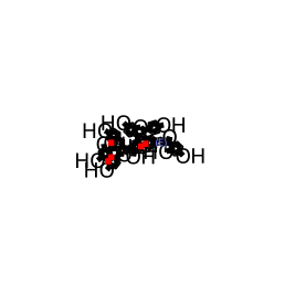 O=C(/C=C/c1ccc(O)c(C2C(c3ccc(O)cc3)Oc3cc(O)ccc3C2c2cc(C3OC(c4ccc(O)cc4)C(C(=O)c4ccc(O)cc4O)C3Cc3ccc(O)cc3)c(O)cc2O)c1)c1ccc(O)cc1O